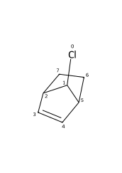 ClC1C2C=CC1CC2